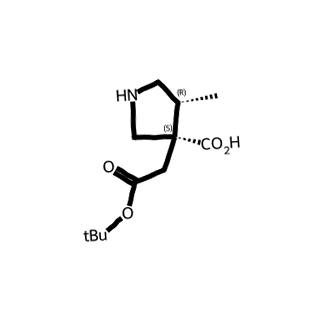 C[C@H]1CNC[C@@]1(CC(=O)OC(C)(C)C)C(=O)O